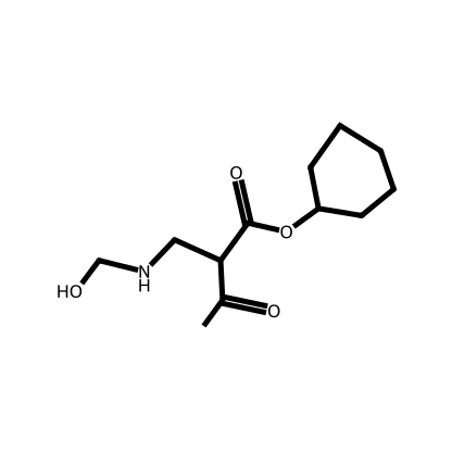 CC(=O)C(CNCO)C(=O)OC1CCCCC1